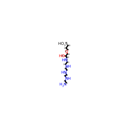 NCCNCCNCCNCCNCC(O)COCCCS(=O)(=O)O